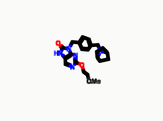 COCCOc1ncc2[nH]c(=O)n(Cc3ccc(CN4C5CCC4CC5)cc3)c2n1